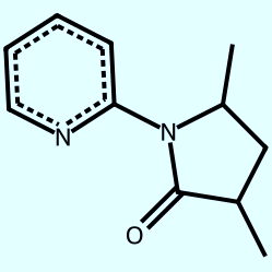 CC1CC(C)N(c2ccccn2)C1=O